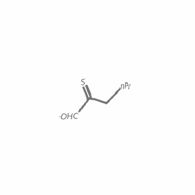 CCCCC(=S)[C]=O